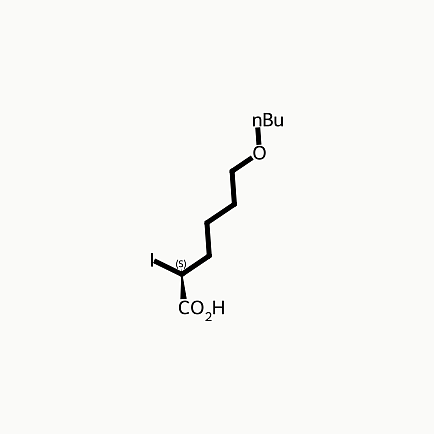 CCCCOCCCC[C@H](I)C(=O)O